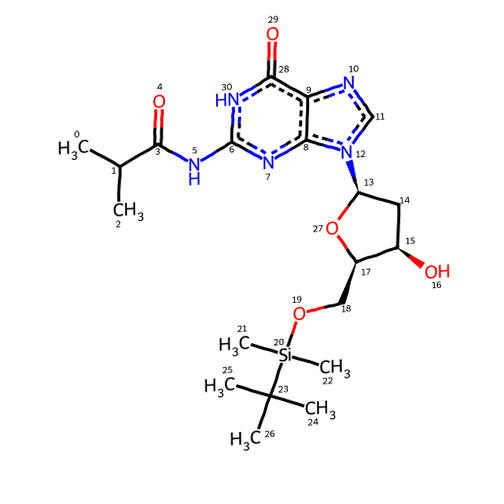 CC(C)C(=O)Nc1nc2c(ncn2[C@H]2C[C@@H](O)[C@@H](CO[Si](C)(C)C(C)(C)C)O2)c(=O)[nH]1